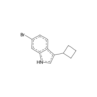 Brc1ccc2c(C3CCC3)c[nH]c2c1